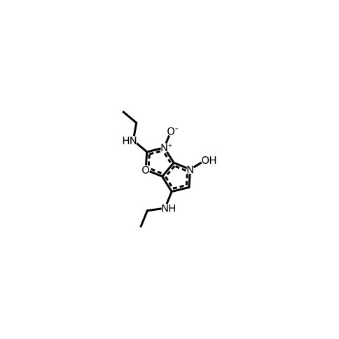 CCNc1cn(O)c2c1oc(NCC)[n+]2[O-]